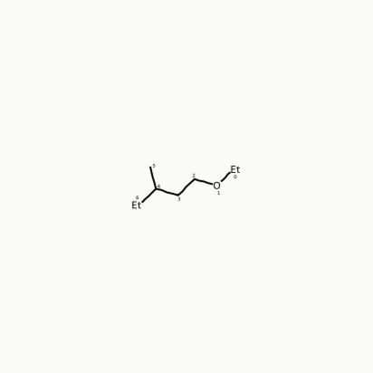 [CH2]COCCC(C)CC